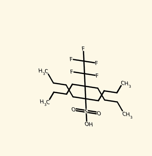 CCCCC(CCCC)(C(F)(F)C(F)(F)F)C(CCCC)(CCCC)S(=O)(=O)O